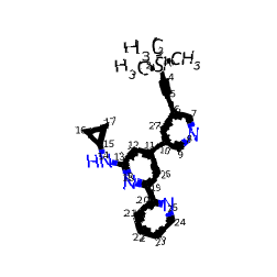 C[Si](C)(C)C#Cc1cncc(-c2cc(NC3CC3)nc(-c3ccccn3)c2)c1